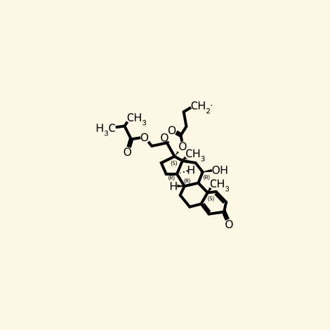 [CH2]CCC(=O)O[C@@]1(C(=O)COC(=O)C(C)C)CC[C@@H]2[C@H]3CCC4=CC(=O)C=C[C@@]4(C)C3[C@H](O)C[C@]21C